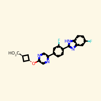 O=C(O)[C@H]1C[C@H](Oc2cnc(-c3ccc(-c4nc5cc(F)ccc5[nH]4)c(F)c3)cn2)C1